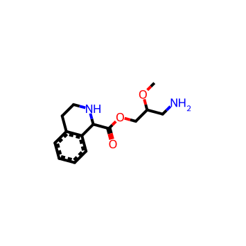 COC(CN)COC(=O)C1NCCc2ccccc21